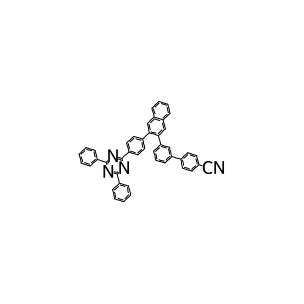 N#Cc1ccc(-c2cccc(-c3cc4ccccc4cc3-c3ccc(-c4nc(-c5ccccc5)nc(-c5ccccc5)n4)cc3)c2)cc1